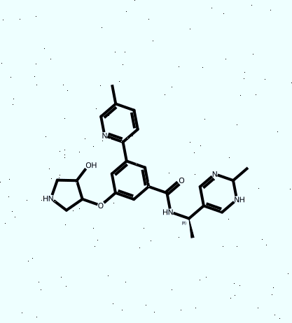 Cc1ccc(-c2cc(OC3CNCC3O)cc(C(=O)N[C@H](C)C3=CNC(C)N=C3)c2)nc1